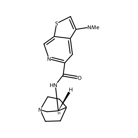 CNc1csc2cnc(C(=O)N[C@H]3CN4CCC3CC4)cc12